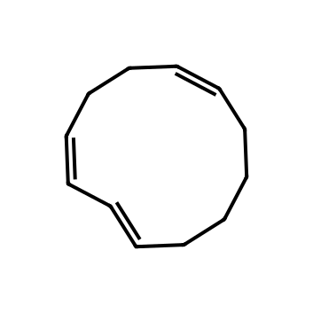 C1=C\CC/C=C\CCCC/C=C/1